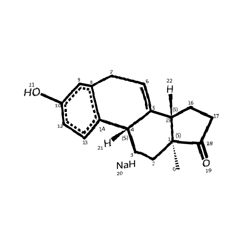 C[C@]12CC[C@H]3C(=CCc4cc(O)ccc43)[C@@H]1CCC2=O.[NaH]